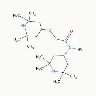 CCN(C(=O)COC1CC(C)(C)NC(C)(C)C1)C1CC(C)(C)NC(C)(C)C1